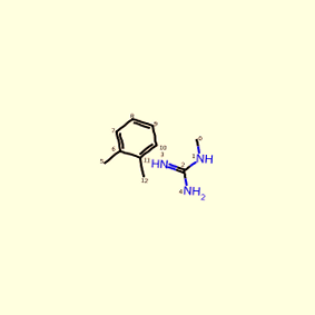 CNC(=N)N.Cc1ccccc1C